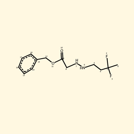 CC(F)(F)CCNNCC(=O)OCc1ccccc1